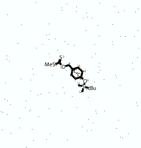 C[SH2]C(=S)OCC12CCC(O[Si](C)(C)C(C)(C)C)(CC1)CC2